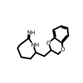 N=C1CCCCC(CC2COc3ccccc3O2)N1